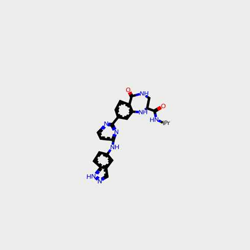 CC(C)NC(=O)C1CNC(=O)c2ccc(-c3nccc(Nc4ccc5[nH]ncc5c4)n3)cc2N1